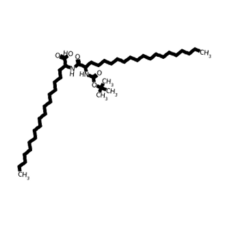 CCCCCCCCCCCCCCCCCCC(NC(=O)C(CCCCCCCCCCCCCCCCCC)NC(=O)OC(C)(C)C)C(=O)O